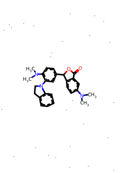 CN(C)c1ccc2c(c1)C(=O)OC2c1ccc(N(C)C)c(N2CCc3ccccc32)c1